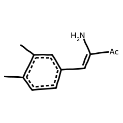 CC(=O)/C(N)=C/c1ccc(C)c(C)c1